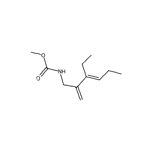 C=C(CNC(=O)OC)C(=CCC)CC